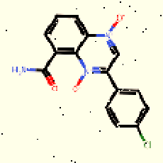 NC(=O)c1cccc2c1[n+]([O-])c(-c1ccc(Cl)cc1)c[n+]2[O-]